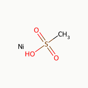 CS(=O)(=O)O.[Ni]